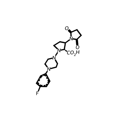 O=C(O)[C@@H]1C(N2C(=O)CCC2=O)CCN1N1CCN(c2ccc(F)cc2)CC1